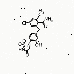 Cc1cc(Cl)cc(Cc2ccc(N3CC(=O)NS3(=O)=O)c(O)c2)c1C(N)=O